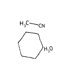 C1CCCCC1.CC#N.O